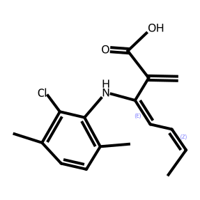 C=C(C(=O)O)/C(=C\C=C/C)Nc1c(C)ccc(C)c1Cl